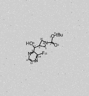 CC(C)(C)OC(=O)N1CC(C(O)c2nccnc2F)C1